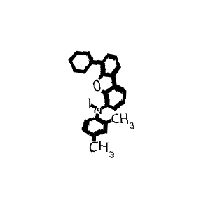 Cc1ccc(N(I)c2cccc3c2oc2c(C4CCCCC4)cccc23)c(C)c1